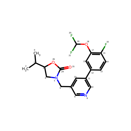 CC(C)C1CN(Cc2cncc(-c3ccc(F)c(OC(F)F)c3)c2)C(=O)O1